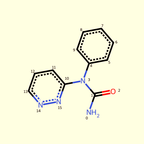 NC(=O)N(c1ccccc1)c1cccnn1